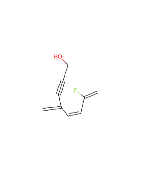 C=C(F)/C=C\C(=C)C#CCO